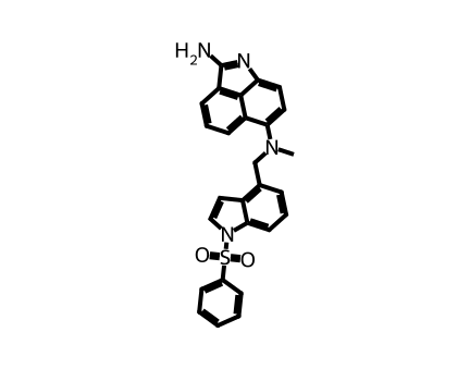 CN(Cc1cccc2c1ccn2S(=O)(=O)c1ccccc1)c1ccc2c3c(cccc13)C(N)=N2